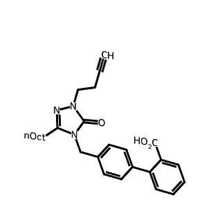 C#CCCn1nc(CCCCCCCC)n(Cc2ccc(-c3ccccc3C(=O)O)cc2)c1=O